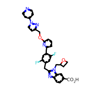 O=C(O)c1ccc2nc(Cc3cc(F)c(-c4cccc(OCc5ccn(-c6ccncc6)n5)n4)cc3F)n(CC3CCO3)c2c1